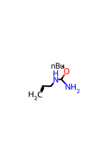 C=CCNC(N)OCCCC